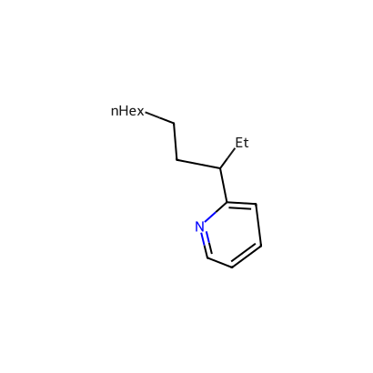 CCCCCCCCC(CC)c1ccccn1